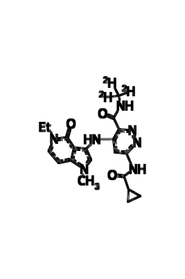 [2H]C([2H])([2H])NC(=O)c1nnc(NC(=O)C2CC2)cc1Nc1cn(C)c2ccn(CC)c(=O)c12